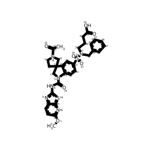 COc1ccc2nc(NC(=O)N3CC4(CCN(C(C)=O)C4)c4cc(S(=O)(=O)N(CCCC(=O)O)Cc5ccccc5)ccc43)sc2n1